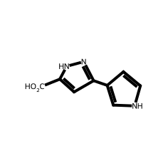 O=C(O)c1cc(-c2cc[nH]c2)n[nH]1